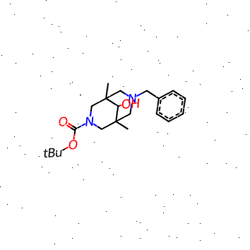 CC(C)(C)OC(=O)N1CC2(C)CN(Cc3ccccc3)CC(C)(C1)C2O